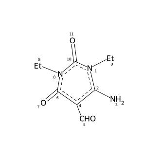 CCn1c(N)c(C=O)c(=O)n(CC)c1=O